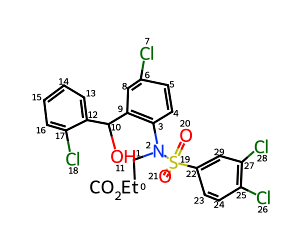 CCOC(=O)CN(c1ccc(Cl)cc1C(O)c1ccccc1Cl)S(=O)(=O)c1ccc(Cl)c(Cl)c1